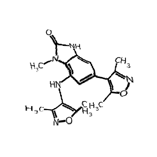 Cc1noc(C)c1Nc1cc(-c2c(C)noc2C)cc2[nH]c(=O)n(C)c12